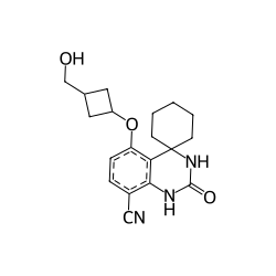 N#Cc1ccc(OC2CC(CO)C2)c2c1NC(=O)NC21CCCCC1